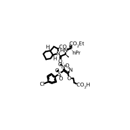 CCC[C@H](N[C@@H](C)C(=O)N1[C@H](C(=O)O)C[C@@H]2CCCC[C@@H]21)C(=O)OCC.O=C(O)CCOc1no[n+]([O-])c1S(=O)(=O)c1ccc(Cl)cc1